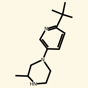 CC1CN(c2ccc(C(C)(C)C)nc2)CCN1